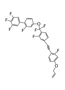 C=CCOc1ccc(C#Cc2ccc(C(F)(F)Oc3ccc(-c4cc(F)c(F)c(F)c4)c(F)c3)c(F)c2)c(F)c1